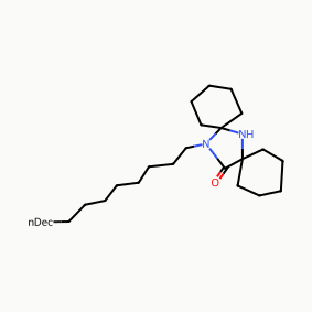 CCCCCCCCCCCCCCCCCCN1C(=O)C2(CCCCC2)NC12CCCCC2